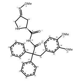 CO/N=C1/CN[C@H](C(=O)NC(=O)C(Cc2ccc(OC)c(OC)c2)(c2ccccc2)c2ccccc2)C1